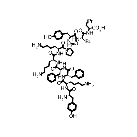 CC[C@H](C)[C@H](NC(=O)[C@H](Cc1ccc(O)cc1)NC(=O)[C@@H]1CCCN1C(=O)[C@H](CCCCN)NC(=O)[C@H](CCCCN)NC(=O)[C@H](Cc1ccccc1)NC(=O)[C@H](Cc1ccccc1)NC(=O)[C@@H](CCCCN)NC(=O)[C@@H](N)Cc1ccc(O)cc1)C(=O)N[C@@H](CC(C)C)C(=O)O